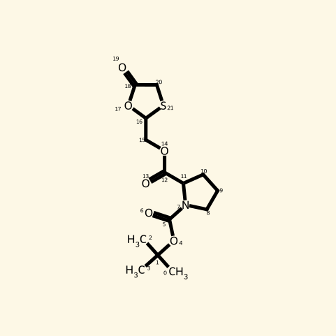 CC(C)(C)OC(=O)N1CCCC1C(=O)OCC1OC(=O)CS1